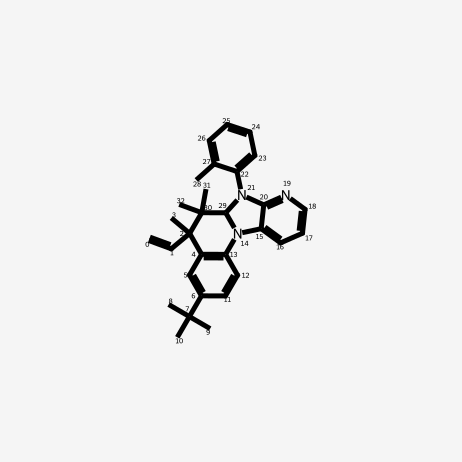 C=CC1(C)c2cc(C(C)(C)C)ccc2N2c3cccnc3N(c3ccccc3C)C2C1(C)C